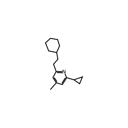 Cc1cc(CCC2CCCCC2)nc(C2CC2)c1